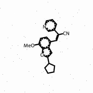 COc1ccc(C=C(C#N)c2cccnc2)c2cc(C3CCCC3)oc12